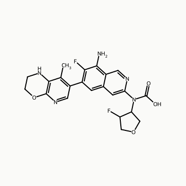 Cc1c(-c2cc3cc(N(C(=O)O)C4COCC4F)ncc3c(N)c2F)cnc2c1NCCO2